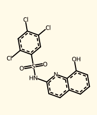 O=S(=O)(Nc1ccc2cccc(O)c2n1)c1cc(Cl)c(Cl)cc1Cl